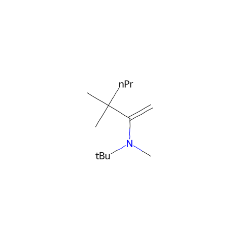 C=C(N(C)C(C)(C)C)C(C)(C)CCC